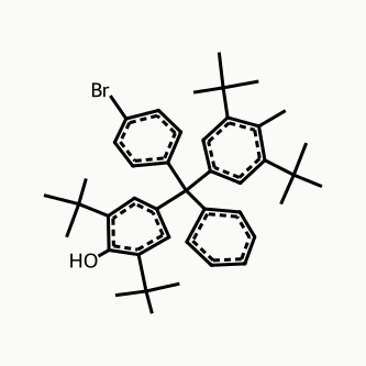 Cc1c(C(C)(C)C)cc(C(c2ccccc2)(c2ccc(Br)cc2)c2cc(C(C)(C)C)c(O)c(C(C)(C)C)c2)cc1C(C)(C)C